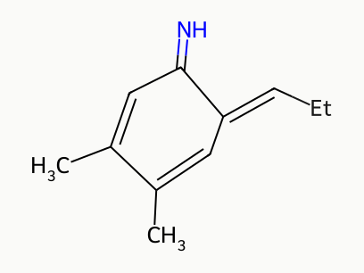 CC/C=C1\C=C(C)C(C)=CC1=N